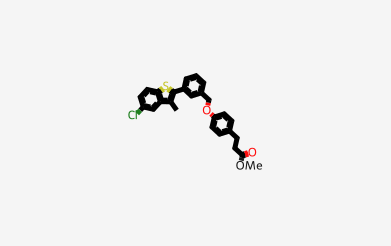 COC(=O)CCc1ccc(OCc2cccc(-c3sc4ccc(Cl)cc4c3C)c2)cc1